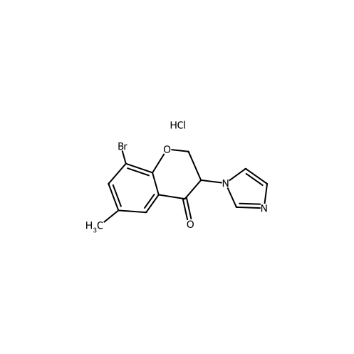 Cc1cc(Br)c2c(c1)C(=O)C(n1ccnc1)CO2.Cl